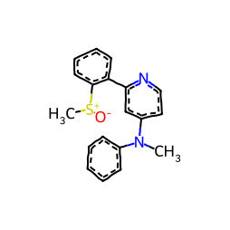 CN(c1ccccc1)c1ccnc(-c2ccccc2[S+](C)[O-])c1